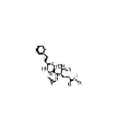 CCNC(=O)CCC(NC(=O)[C@H](CC1CC1)NC(=O)/C=C/c1ccccc1)C(O)C#N